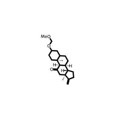 C=C1CC[C@H]2[C@@H]3CCC4CC(OCOC)CC[C@]4(C)[C@@H]3C(=O)C[C@]12C